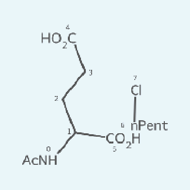 CC(=O)NC(CCC(=O)O)C(=O)O.CCCCCCl